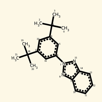 CC(C)(C)c1cc(-n2nc3ccccc3n2)cc(C(C)(C)C)c1